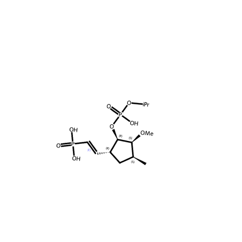 CO[C@@H]1[C@H](OP(=O)(O)OC(C)C)[C@@H](/C=C/P(=O)(O)O)C[C@@H]1C